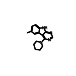 Cc1ccc2[nH]c3ncnc(N4CCCCC4)c3c2c1